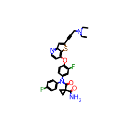 CCN(CC)CC#Cc1cc2nccc(Oc3ccc(N(C(=O)C4(C(N)=O)CC4)c4ccc(F)cc4)cc3F)c2s1